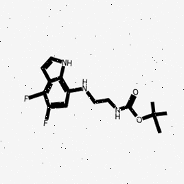 CC(C)(C)OC(=O)NCCNc1cc(F)c(F)c2cc[nH]c12